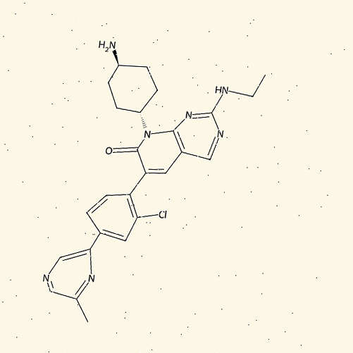 CCNc1ncc2cc(-c3ccc(-c4cncc(C)n4)cc3Cl)c(=O)n([C@H]3CC[C@H](N)CC3)c2n1